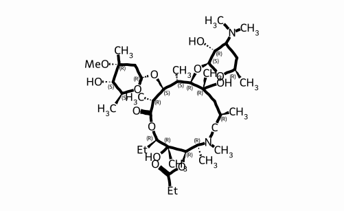 CCC(=O)O[C@@H]1[C@@H](C)N(C)C[C@H](C)C[C@@](C)(O)[C@H](O[C@@H]2O[C@H](C)CC(N(C)C)[C@H]2O)[C@@H](C)[C@H](O[C@H]2C[C@@](C)(OC)[C@@H](O)[C@H](C)O2)[C@@H](C)C(=O)O[C@H](CC)[C@@]1(C)O